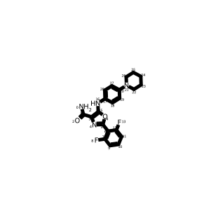 NC(=O)c1nc(-c2c(F)cccc2F)oc1Nc1ccc(N2CCCCC2)cc1